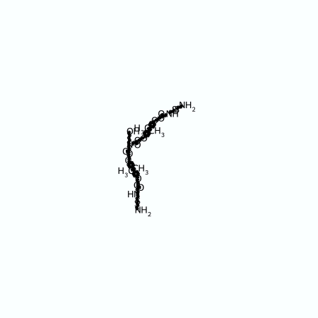 CC(C)(c1ccc(OCCOC(=O)CCNCCSSCCN)cc1)c1ccc(OCCOC(=O)CCN(CCCCCO)CCC(=O)OCCOc2ccc(C(C)(C)c3ccc(OCCOC(=O)CCNCCSSCCN)cc3)cc2)cc1